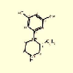 C[C@@H]1CNCCN1c1cc(F)cc(F)c1